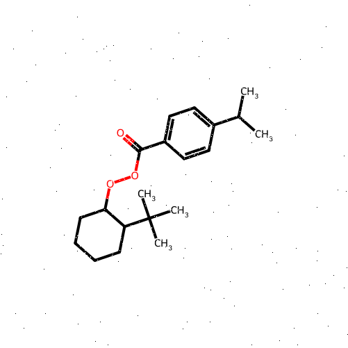 CC(C)c1ccc(C(=O)OO[C]2CCCCC2C(C)(C)C)cc1